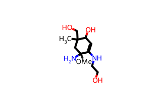 COC1(N)CC(C)(CO)C(O)C=C1NCCO